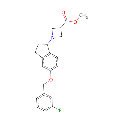 COC(=O)C1CN(C2CCc3cc(OCc4cccc(F)c4)ccc32)C1